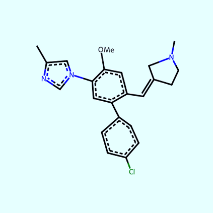 COc1cc(C=C2CCN(C)C2)c(-c2ccc(Cl)cc2)cc1-n1cnc(C)c1